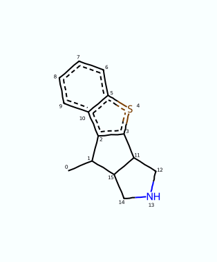 CC1c2c(sc3ccccc23)C2CNCC12